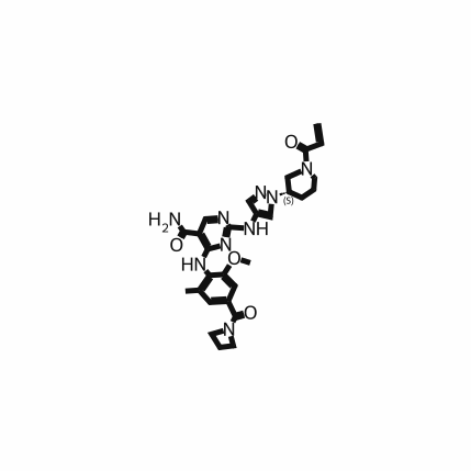 C=CC(=O)N1CCC[C@H](n2cc(Nc3ncc(C(N)=O)c(Nc4c(C)cc(C(=O)N5CCC5)cc4OC)n3)cn2)C1